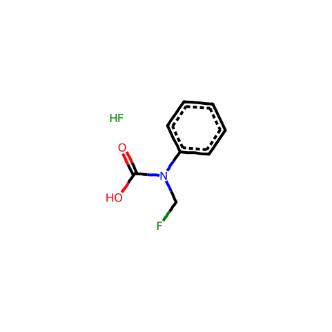 F.O=C(O)N(CF)c1ccccc1